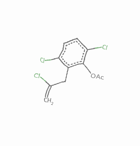 C=C(Cl)Cc1c(Cl)ccc(Cl)c1OC(C)=O